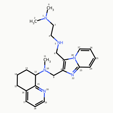 CN(C)CCNCc1c(CN(C)C2CCCc3cccnc32)nc2ccccn12